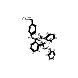 O=C(O)Cc1ccc(NC(=O)c2ccccc2C(NC(=O)c2ccccc2)(SSc2ccccc2)C(=O)O)cc1